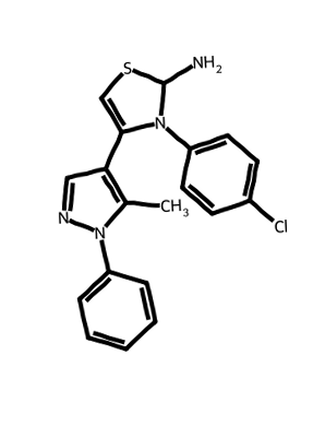 Cc1c(C2=CSC(N)N2c2ccc(Cl)cc2)cnn1-c1ccccc1